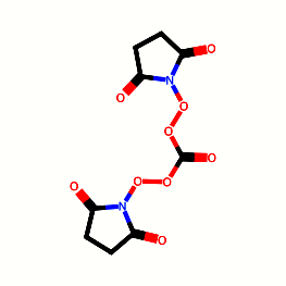 O=C(OON1C(=O)CCC1=O)OON1C(=O)CCC1=O